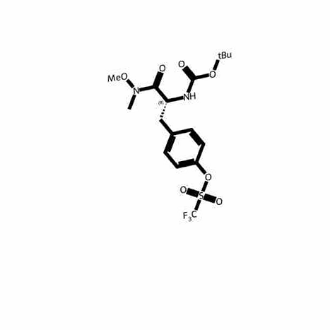 CON(C)C(=O)[C@@H](Cc1ccc(OS(=O)(=O)C(F)(F)F)cc1)NC(=O)OC(C)(C)C